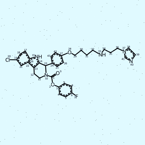 O=C(Oc1ccc(F)cc1)N1CCc2c([nH]c3ccc(Cl)cc23)C1c1ccc(OCCCCNCCCn2ccnc2)cc1